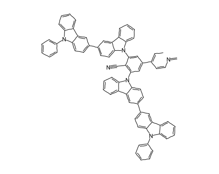 C=N/C=C\C(=C/C)c1cc(-n2c3ccccc3c3cc(-c4ccc5c(c4)c4ccccc4n5-c4ccccc4)ccc32)c(C#N)c(-n2c3ccccc3c3cc(-c4ccc5c(c4)c4ccccc4n5-c4ccccc4)ccc32)c1